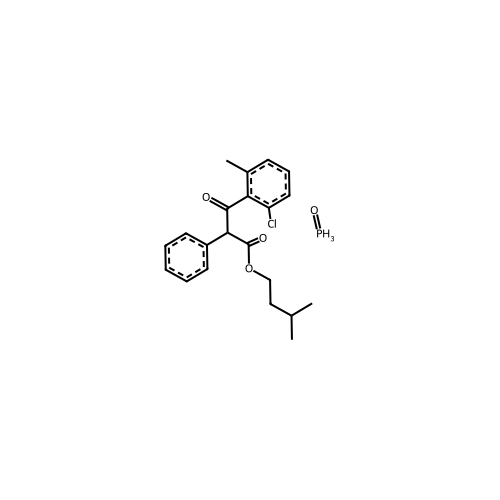 Cc1cccc(Cl)c1C(=O)C(C(=O)OCCC(C)C)c1ccccc1.O=[PH3]